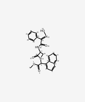 COC(=O)C(c1cccc2ccccc12)N1CC(NC(=O)/C(=N/O)c2ccccc2)C1=O